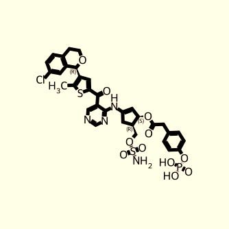 Cc1sc(C(=O)c2cncnc2NC2=C[C@H](OC(=O)Cc3ccc(OP(=O)(O)O)cc3)[C@@H](COS(N)(=O)=O)C2)cc1[C@@H]1OCCc2ccc(Cl)cc21